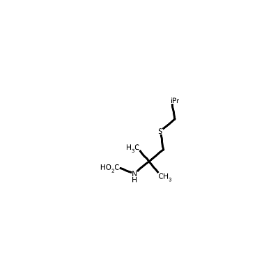 CC(C)CSCC(C)(C)NC(=O)O